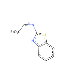 CCOC(=O)/C=N\c1nc2ccccc2s1